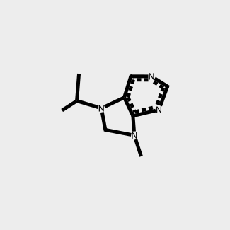 CC(C)N1CN(C)c2ncncc21